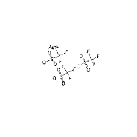 O=S(=O)([O-])C(F)(F)F.O=S(=O)([O-])C(F)(F)F.O=S(=O)([O-])C(F)(F)F.[Au+3]